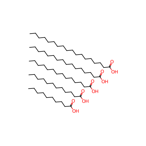 CCCCCCCCCC(=O)O.CCCCCCCCCCCC(=O)O.CCCCCCCCCCCCCC(=O)O.CCCCCCCCCCCCCCCC(=O)O.CCCCCCCCCCCCCCCCCC(=O)O